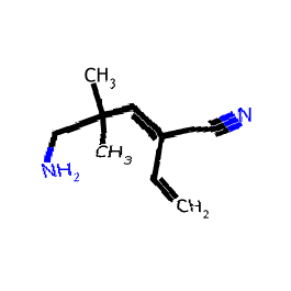 C=C/C(C#N)=C\C(C)(C)CN